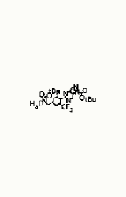 CN(Cc1cc(F)c(-c2ncc3c(cnn3C(=O)OC(C)(C)C)n2)c(C(F)(F)F)c1)C(=O)OC(C)(C)C